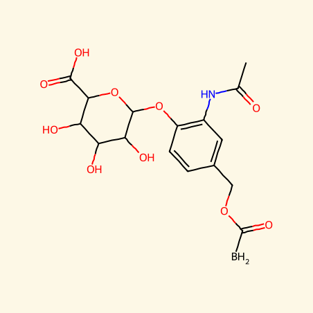 BC(=O)OCc1ccc(OC2OC(C(=O)O)C(O)C(O)C2O)c(NC(C)=O)c1